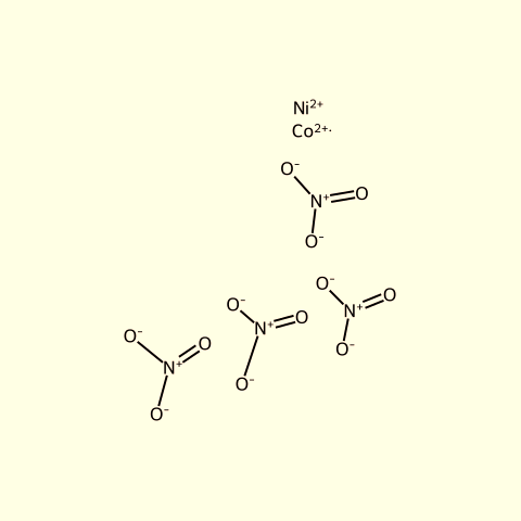 O=[N+]([O-])[O-].O=[N+]([O-])[O-].O=[N+]([O-])[O-].O=[N+]([O-])[O-].[Co+2].[Ni+2]